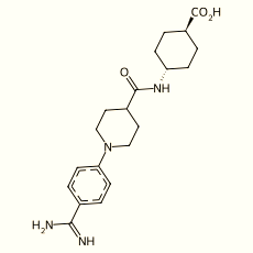 N=C(N)c1ccc(N2CCC(C(=O)N[C@H]3CC[C@H](C(=O)O)CC3)CC2)cc1